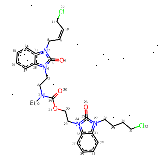 CCN(CCn1c(=O)n(C/C=C\CCl)c2ccccc21)C(=O)OCCn1c(=O)n(CCCCCl)c2ccccc21